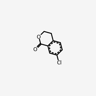 O=C1OCCc2ccc(Cl)cc21